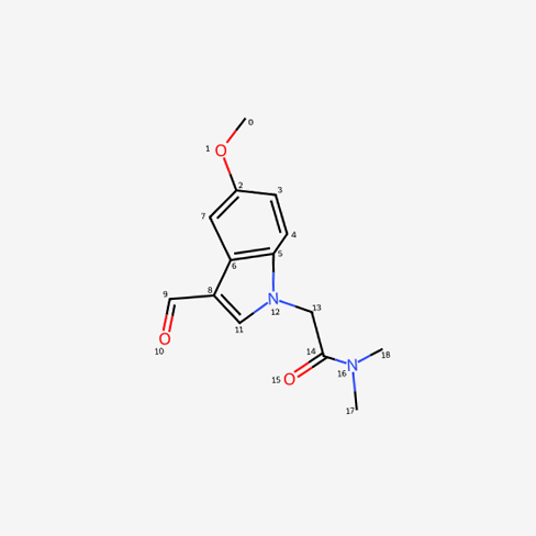 COc1ccc2c(c1)c(C=O)cn2CC(=O)N(C)C